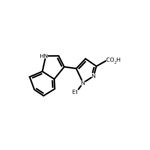 CCn1nc(C(=O)O)cc1-c1c[nH]c2ccccc12